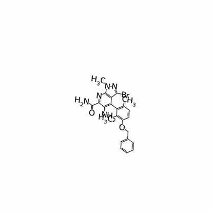 Cc1ccc(OCc2ccccc2)c(C)c1-c1c(N)c(C(N)=O)nc2c1c(Br)nn2C